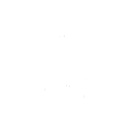 CCCCCC(C)[SiH](OC)OC